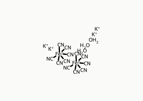 N#[C][Fe-2]([C]#N)([C]#N)([C]#N)([C]#N)[C]#N.N#[C][Fe-2]([C]#N)([C]#N)([C]#N)([C]#N)[C]#N.O.O.O.[K+].[K+].[K+].[K+]